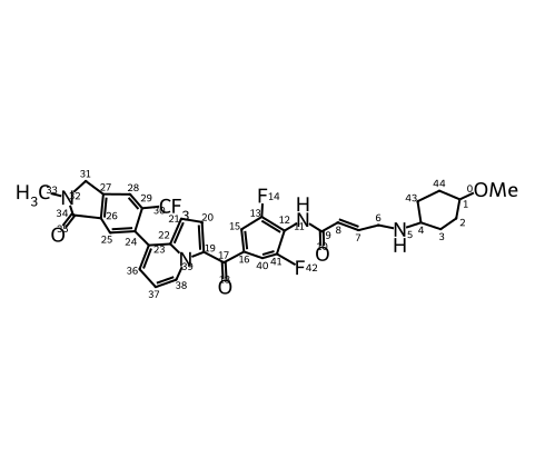 COC1CCC(NC/C=C/C(=O)Nc2c(F)cc(C(=O)c3ccc4c(-c5cc6c(cc5C(F)(F)F)CN(C)C6=O)cccn34)cc2F)CC1